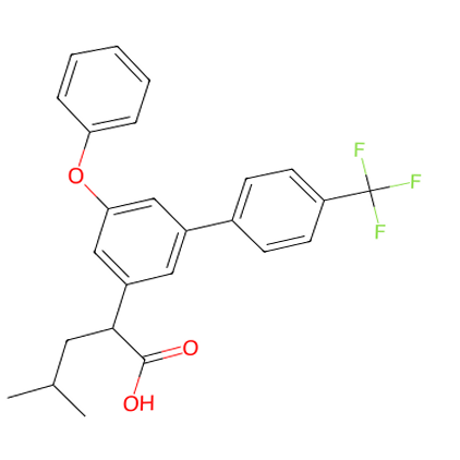 CC(C)CC(C(=O)O)c1cc(Oc2ccccc2)cc(-c2ccc(C(F)(F)F)cc2)c1